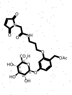 CC(=O)OCc1ccc(O[C@@H]2O[C@H](C(=O)O)[C@@H](O)[C@H](O)[C@H]2O)cc1OCCCNC(=O)CN1C(=O)C=CC1=O